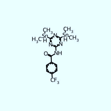 [CH3][SnH]([CH3])[c]1nc(NC(=O)c2ccc(C(F)(F)F)cc2)n[c]([SnH]([CH3])[CH3])n1